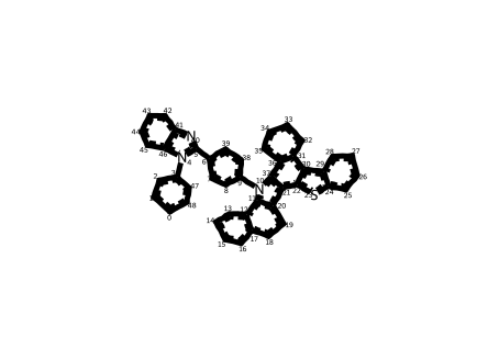 c1ccc(-n2c(-c3ccc(-n4c5c6ccccc6ccc5c5c6sc7ccccc7c6c6ccccc6c54)cc3)nc3ccccc32)cc1